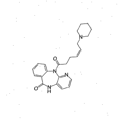 O=C1Nc2cccnc2N(C(=O)CC/C=C\CN2CCCCC2)c2ccccc21